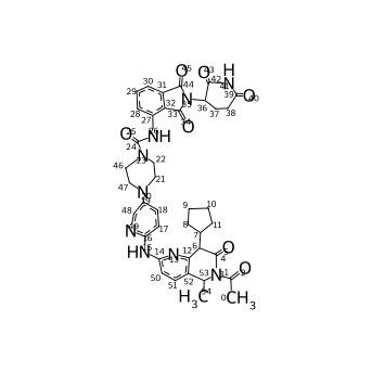 CC(=O)N1C(=O)C(C2CCCC2)c2nc(Nc3ccc(N4CCN(C(=O)Nc5cccc6c5C(=O)N(C5CCC(=O)NC5=O)C6=O)CC4)cn3)ccc2C1C